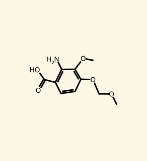 COCOc1ccc(C(=O)O)c(N)c1OC